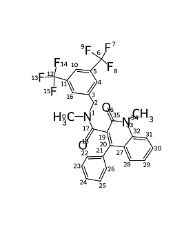 CN(Cc1cc(C(F)(F)F)cc(C(F)(F)F)c1)C(=O)c1c(-c2ccccc2)c2ccccc2n(C)c1=O